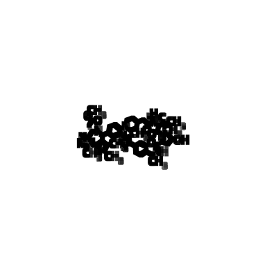 COC(=O)C[C@@H]1N=C(c2ccc(N3CCC(CC(=O)N[C@H](C(=O)N4C[C@H](O)C[C@H]4C(=O)N[C@@H](C)c4ccc(-c5scnc5C)cc4)C(C)(C)C)CC3)cc2)c2c(sc(C)c2C)-n2c(C)nnc21